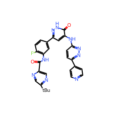 CC(C)(C)c1cnc(C(=O)Nc2cc(-c3cc(Nc4ccc(-c5ccncc5)nn4)c(=O)[nH]n3)ccc2F)cn1